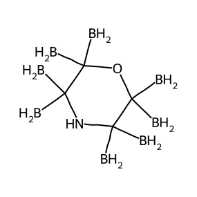 BC1(B)NC(B)(B)C(B)(B)OC1(B)B